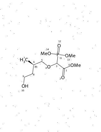 COC(=O)C(OC[C@H](C)CCO)P(=O)(OC)OC